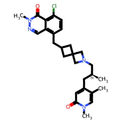 Cc1cn(C)c(=O)cc1C[C@H](C)CN1CC2(CC(Cc3ccc(Cl)c4c(=O)n(C)ncc34)C2)C1